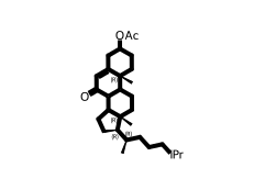 CC(=O)OC1CC[C@@]2(C)C(=CC(=O)C3C2CC[C@@]2(C)C3CC[C@@H]2[C@H](C)CCCC(C)C)C1